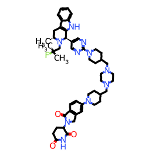 C[C@@H]1Cc2c([nH]c3ccccc23)[C@@H](c2cnc(N3CCC(CN4CCN(CC5CCN(c6ccc7c(c6)CN(C6CCC(=O)NC6=O)C7=O)CC5)CC4)CC3)nc2)N1CC(C)(C)F